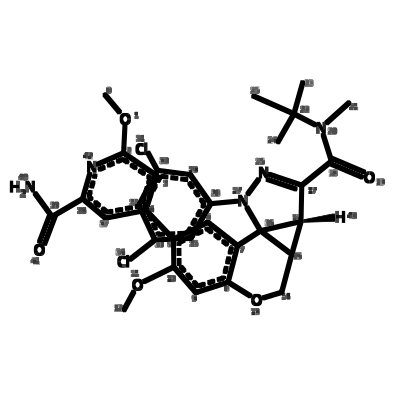 COc1cc(-c2cc3c(cc2OC)OCC2[C@H]4C(C(=O)N(C)C(C)(C)C)=NN(c5cc(Cl)cc(Cl)c5)C324)cc(C(N)=O)n1